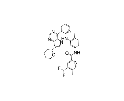 Cc1ccc(NC(=O)c2cc(C(F)F)c(C)cn2)cc1Nc1ncccc1-c1ncnc2c1ncn2C1CCCCO1